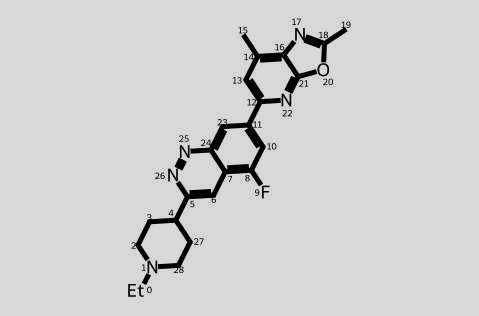 CCN1CCC(c2cc3c(F)cc(-c4cc(C)c5nc(C)oc5n4)cc3nn2)CC1